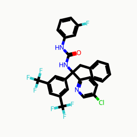 O=C(Nc1cccc(F)c1)NC(Cc1ccccc1)(c1cc(C(F)(F)F)cc(C(F)(F)F)c1)c1ccc(Cl)cn1